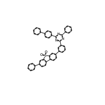 O=S1(=O)c2cc(-c3ccccc3)ccc2-c2ccc(-c3cccc(-c4nc(-c5ccccc5)nc(-c5ccc(-c6ccccc6)cc5)n4)c3)cc21